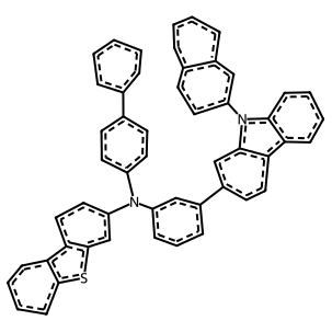 c1ccc(-c2ccc(N(c3cccc(-c4ccc5c6ccccc6n(-c6ccc7ccccc7c6)c5c4)c3)c3ccc4c(c3)sc3ccccc34)cc2)cc1